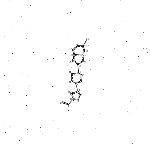 C=Cn1ccc(-c2ccc(-c3cn4cc(I)ccc4n3)cc2)n1